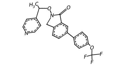 CC(ON1Cc2ccc(-c3ccc(OC(F)(F)F)cc3)cc2C1=O)c1ccncc1